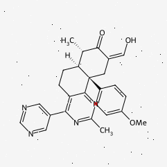 COc1ccc([C@]23CC(=CO)C(=O)[C@@H](C)[C@@H]2CCc2c(-c4cncnc4)nc(C)nc23)cc1